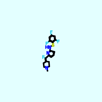 CN1CCC(=C(F)c2cccc(NSc3c(F)cc(F)cc3F)n2)CC1